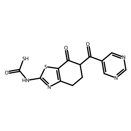 O=C(S)Nc1nc2c(s1)C(=O)C(C(=O)c1cncnc1)CC2